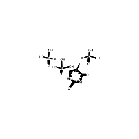 O=P(O)(O)O.O=P(O)(O)O.O=P(O)(O)O.O=c1[nH]cc(F)c(=O)[nH]1